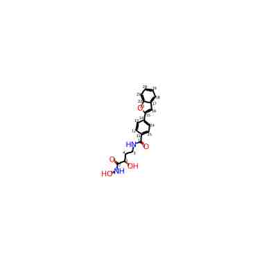 O=C(NCCC(O)C(=O)NO)c1ccc(-c2cc3ccccc3o2)cc1